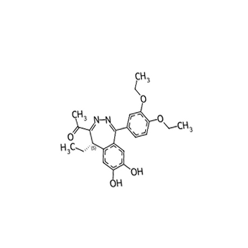 CCOc1ccc(C2=NN=C(C(C)=O)[C@@H](CC)c3cc(O)c(O)cc32)cc1OCC